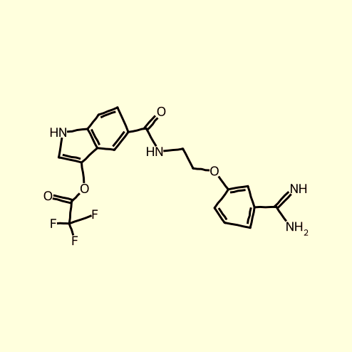 N=C(N)c1cccc(OCCNC(=O)c2ccc3[nH]cc(OC(=O)C(F)(F)F)c3c2)c1